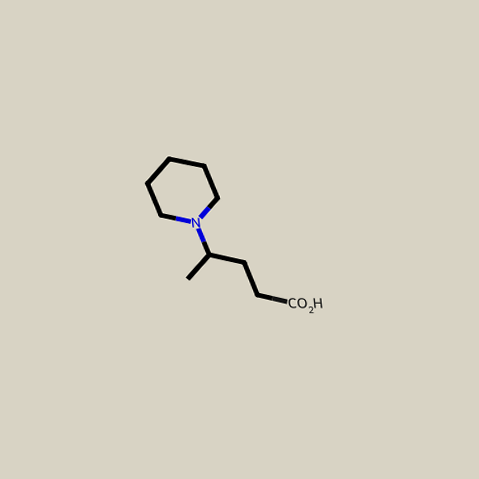 CC(CCC(=O)O)N1CCCCC1